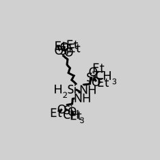 CCO[Si](C)(CCCNC(NCCC[Si](C)(OCC)OCC)[SiH2]CCCCCCCC[Si](OCC)(OCC)OCC)OCC